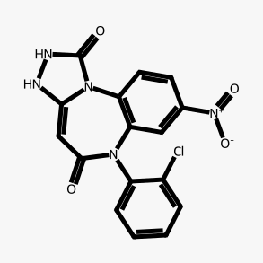 O=C1NNC2=CC(=O)N(c3ccccc3Cl)c3cc([N+](=O)[O-])ccc3N12